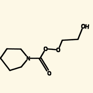 O=C(OOCCO)N1CCCCC1